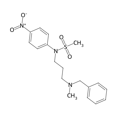 CN(CCCN(c1ccc([N+](=O)[O-])cc1)S(C)(=O)=O)Cc1ccccc1